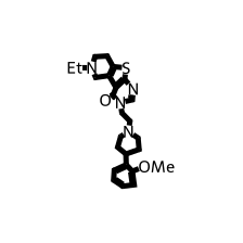 CCN1CCc2sc3ncn(CCN4CCC(c5ccccc5OC)CC4)c(=O)c3c2C1